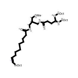 CCCCCCCC/C=C\CCCCCCCC(=O)OCC(COC)COC(=O)CCC(OCCCCCCCC)OCCCCCCCC